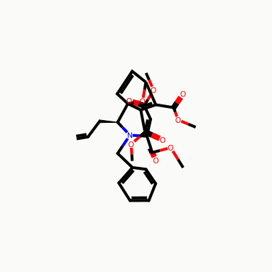 C=CC[C@H](N(Cc1ccccc1)/C(=C\C(=O)OC)C(=O)OC)C12C=CC(O1)C(C(=O)OC)=C2C(=O)OC